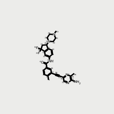 Cc1ccc(C(=O)Nc2ccc3c(c2)C(F)(F)CC3N2CCN(C)CC2)cc1C#Cc1cnc(N)c(C)n1